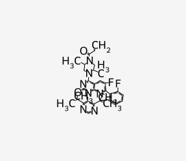 C=CC(=O)N1CC(C)N(c2nc(=O)n(-c3c(C(C)C)ncnc3C(C)C)c3nc(-c4ccccc4F)c(F)cc23)CC1C